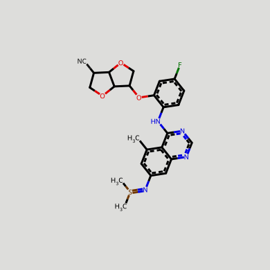 Cc1cc(N=S(C)C)cc2ncnc(Nc3ccc(F)cc3OC3COC4C(C#N)COC34)c12